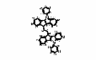 c1ccc(-n2c3c(c4ccccc42)C(CCC2c4ccccc4-c4c2c2ccccc2n4-c2ccccc2)c2ccccc2-3)cc1